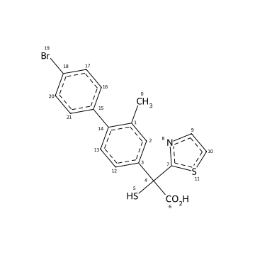 Cc1cc(C(S)(C(=O)O)c2nccs2)ccc1-c1ccc(Br)cc1